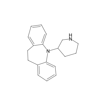 c1ccc2c(c1)CCc1ccccc1N2C1CCCNC1